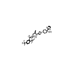 C=C(CNC(=O)c1cc(C(F)(F)F)ccc1C(F)(F)F)NC1CN([C@H]2CC[C@@](O)(c3nccs3)CC2)C1